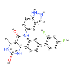 CC1=C(C(=O)Nc2ccc3[nH]ncc3c2)C(c2ccc(-c3ccc(F)cc3F)cc2)NC(=O)N1